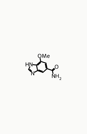 COc1cc(C(N)=O)cc2nc[nH]c12